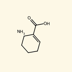 N.O=C(O)C1=CCCCC1